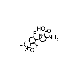 CC(C)N(C)C(=O)c1ccc(F)c(-c2ccc(N)c(C(=O)O)n2)c1F